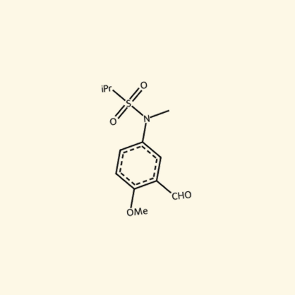 COc1ccc(N(C)S(=O)(=O)C(C)C)cc1C=O